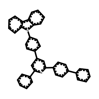 c1ccc(-c2ccc(-c3cc(-c4ccc(-n5c6ccccc6c6ccccc65)cc4)cc(-c4ccccc4)n3)cc2)cc1